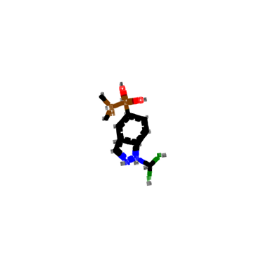 C[SH](C)S(=O)(=O)c1ccc2c(cnn2C(F)F)c1